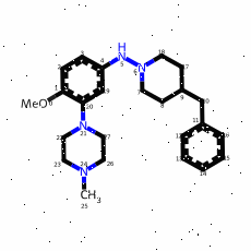 COc1ccc(NN2CCC(Cc3ccccc3)CC2)cc1N1CCN(C)CC1